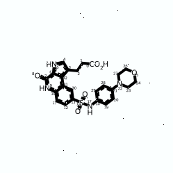 O=C(O)CCc1c[nH]c2c(=O)[nH]c3ccc(S(=O)(=O)Nc4ccc(N5CCOCC5)cc4)cc3c12